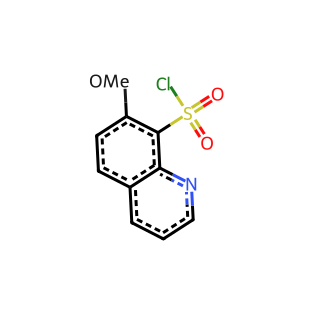 COc1ccc2cccnc2c1S(=O)(=O)Cl